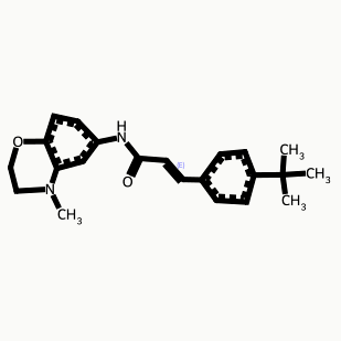 CN1CCOc2ccc(NC(=O)/C=C/c3ccc(C(C)(C)C)cc3)cc21